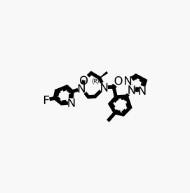 Cc1ccc(-n2nccn2)c(C(=O)N2CCN(c3ccc(F)cn3)OC[C@H]2C)c1